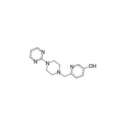 Oc1ccc(CN2CCN(c3ncccn3)CC2)nc1